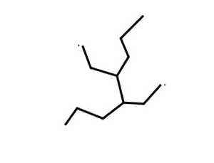 [CH2]CC(CCC)C(C[CH2])CCC